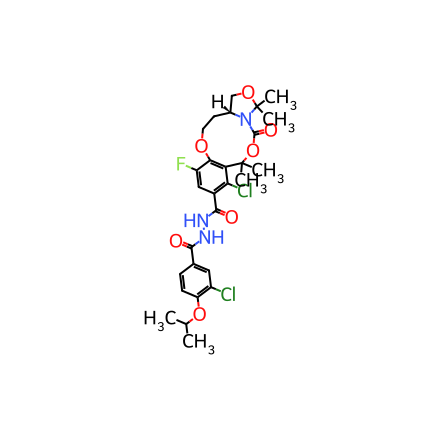 CC(C)Oc1ccc(C(=O)NNC(=O)c2cc(F)c3c(c2Cl)C(C)(C)OC(=O)N2[C@H](CCO3)COC2(C)C)cc1Cl